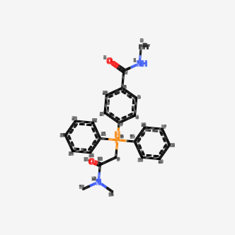 CCCNC(=O)c1ccc([PH](CC(=O)N(C)C)(c2ccccc2)c2ccccc2)cc1